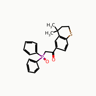 CC1(C)CCSc2ccc(C(=O)CP(=O)(c3ccccc3)c3ccccc3)cc21